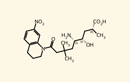 C[C@H](C[C@H](O)[C@@H](N)CC(C)(C)CC(=O)N1CCCc2ccc([N+](=O)[O-])cc21)C(=O)O